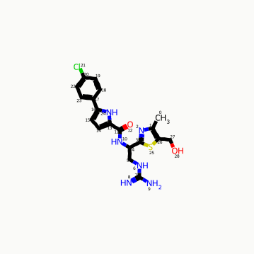 Cc1nc(C(CNC(=N)N)NC(=O)c2ccc(-c3ccc(Cl)cc3)[nH]2)sc1CO